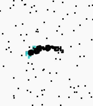 CCCCC1CCC(CCc2ccc3c(F)c(-c4ccc(F)c(F)c4)ccc3c2)CC1